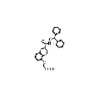 O=C(O)COc1cccc2c1CCC(C(=O)NOC(c1ccccc1)c1ccccc1)C2